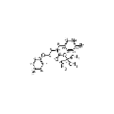 CC(C)(C)OC(=O)N(CCOc1ccc(F)cc1)Cc1ccc(Br)nc1